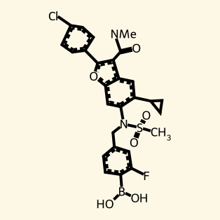 CNC(=O)c1c(-c2ccc(Cl)cc2)oc2cc(N(Cc3ccc(B(O)O)c(F)c3)S(C)(=O)=O)c(C3CC3)cc12